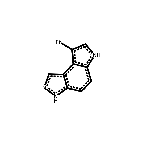 CCc1c[nH]c2ccc3[nH]ncc3c12